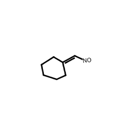 O=NC=C1CCCCC1